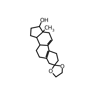 CC12CC=C3C4=C(CCC3C1CCC2O)CC1(CC4)OCCO1